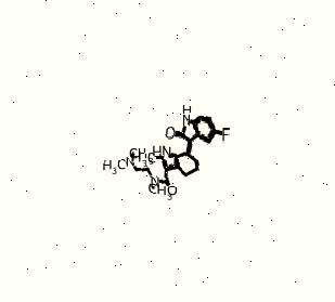 Cc1[nH]c2c(c1C(=O)N(C)CCN(C)C)CCC/C2=C1/C(=O)Nc2ccc(F)cc21